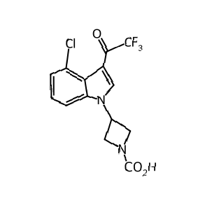 O=C(O)N1CC(n2cc(C(=O)C(F)(F)F)c3c(Cl)cccc32)C1